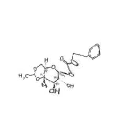 CC1OC[C@H]2O[C@@H](OC(=O)OCc3ccccc3)[C@H](O)[C@@H](O)[C@@H]2O1